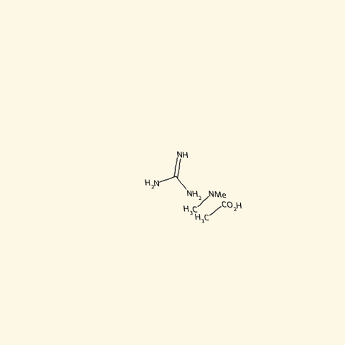 CC(=O)O.CNC.N=C(N)N